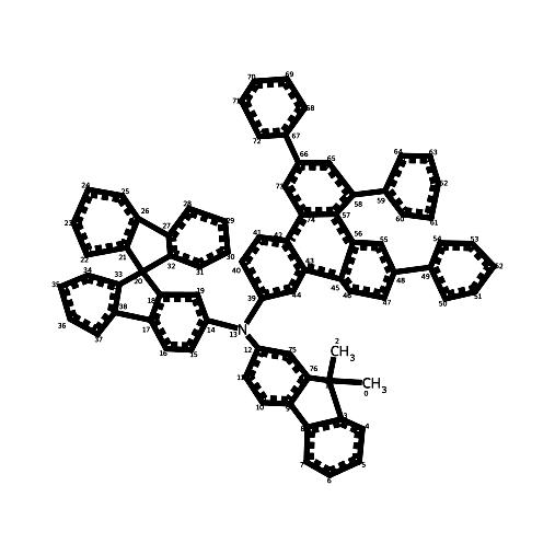 CC1(C)c2ccccc2-c2ccc(N(c3ccc4c(c3)C3(c5ccccc5-c5ccccc53)c3ccccc3-4)c3ccc4c(c3)c3ccc(-c5ccccc5)cc3c3c(-c5ccccc5)cc(-c5ccccc5)cc43)cc21